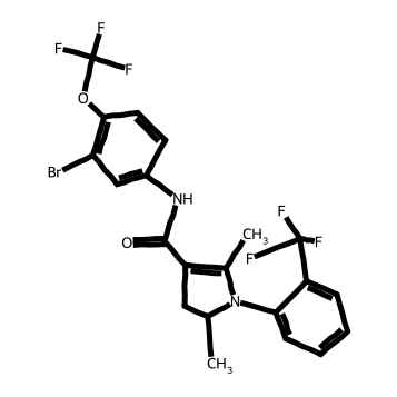 CC1=C(C(=O)Nc2ccc(OC(F)(F)F)c(Br)c2)CC(C)N1c1ccccc1C(F)(F)F